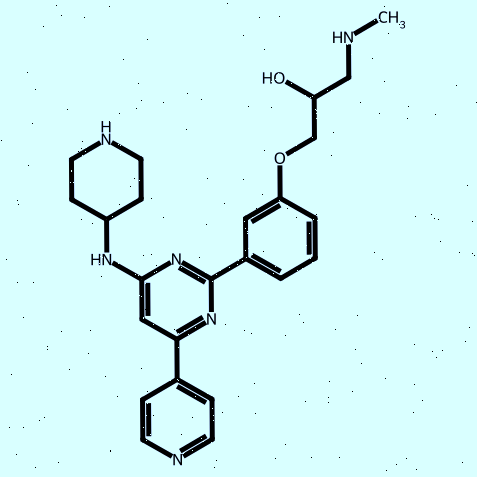 CNCC(O)COc1cccc(-c2nc(NC3CCNCC3)cc(-c3ccncc3)n2)c1